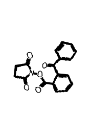 O=C(ON1C(=O)CCC1=O)c1ccccc1C(=O)c1ccccc1